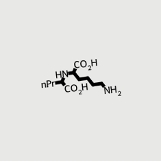 CCCC(NC(CCCCN)C(=O)O)C(=O)O